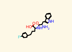 N[C@@H](Cc1c[nH]c2ccccc12)C(=O)NC(CCCc1ccc(F)cc1)C(=O)O